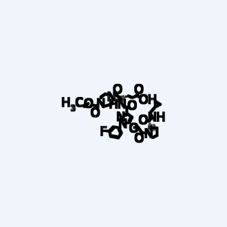 CCOC(=O)N1CCN(C(=O)[C@H](CCC(=O)O)NC(=O)c2cc(OCC(=O)N3CCC[C@H]3C(=O)NCC3CC3)n(-c3cccc(F)c3)n2)CC1